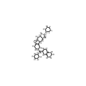 c1ccc(C2=Nc3cc4c(cc3C2)oc2ccc(N(c3ccccc3)c3ccc5ccccc5c3)cc24)cc1